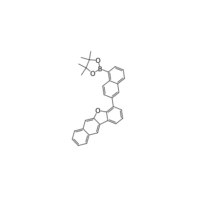 CC1(C)OB(c2cccc3cc(-c4cccc5c4oc4cc6ccccc6cc45)ccc23)OC1(C)C